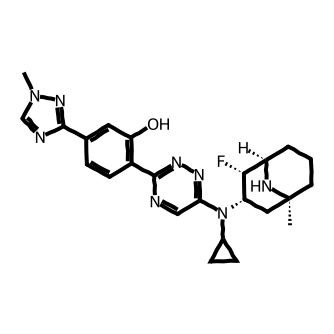 Cn1cnc(-c2ccc(-c3ncc(N(C4CC4)[C@H]4C[C@]5(C)CCC[C@@H](N5)[C@H]4F)nn3)c(O)c2)n1